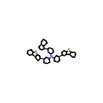 c1cc(-c2ccc3c(c2)sc2ccccc23)cc(N(c2cccc(-c3ccc4sc5ccccc5c4c3)c2)c2cccc(-c3cccc4ccccc34)c2)c1